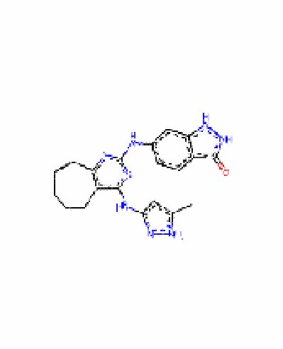 Cc1cc(Nc2nc(Nc3ccc4c(=O)[nH][nH]c4c3)nc3c2CCCCC3)n[nH]1